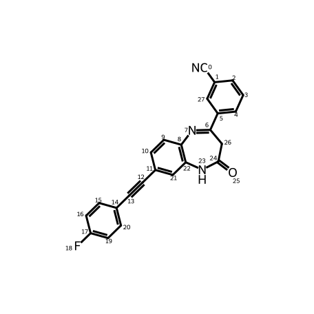 N#Cc1cccc(C2=Nc3ccc(C#Cc4ccc(F)cc4)cc3NC(=O)C2)c1